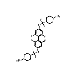 CCCC1CCC(C(F)(F)Oc2cc(F)c(-c3c(F)cc(OC(F)(F)[C@H]4CC[C@H](CCC)CC4)cc3F)c(F)c2)CC1